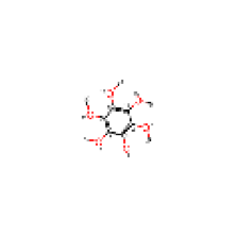 COc1c([O])c(OC)c(OC)c(OC)c1OC